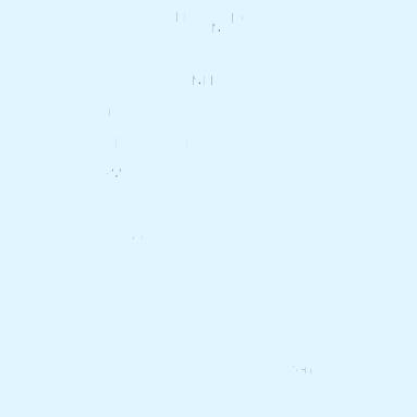 CCCCC/C=C\C/C=C\CCCCCCCC(=O)OCC(COC)COC(=O)C(C)(C)C(CCCCCCCC)OC(=O)NCCN(C)CC